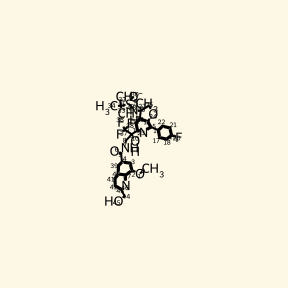 COc1cc(C(=O)NCC(O)(c2cc3c(c(-c4ccc(F)cc4)n2)OC[C@@]3(C)N[S+]([O-])C(C)(C)C)C(F)(F)F)cc2ccc(CO)nc12